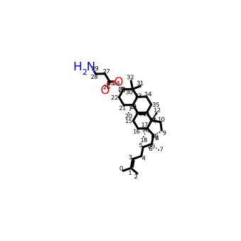 CC(C)=CCC[C@@H](C)[C@H]1CC[C@@]2(C)C3=C(CC[C@]12C)[C@@]1(C)CC[C@H](OC(=O)CCN)C(C)(C)C1CC3